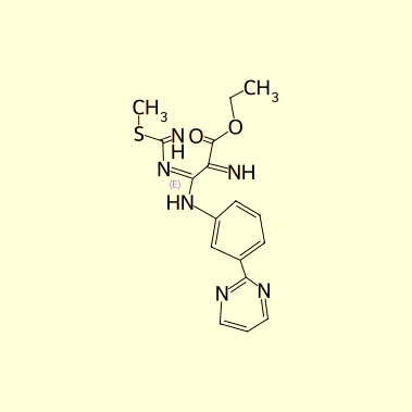 CCOC(=O)C(=N)/C(=N\C(=N)SC)Nc1cccc(-c2ncccn2)c1